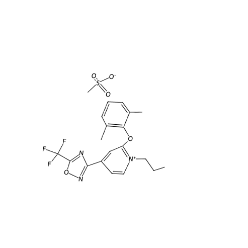 CCC[n+]1ccc(-c2noc(C(F)(F)F)n2)cc1Oc1c(C)cccc1C.CS(=O)(=O)[O-]